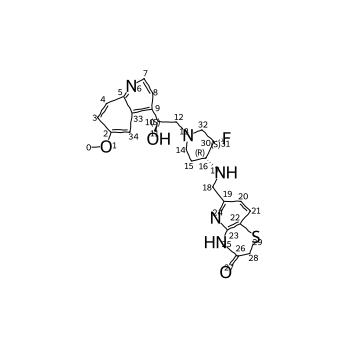 COc1ccc2nccc([C@H](O)CN3CC[C@@H](NCc4ccc5c(n4)NC(=O)CS5)[C@@H](F)C3)c2c1